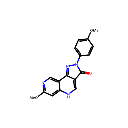 COc1ccc(-n2nc3c4cnc(OC)cc4[nH]cc-3c2=O)cc1